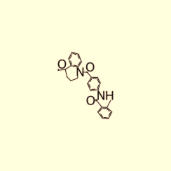 Cc1ccccc1C(=O)Nc1ccc(C(=O)N2CCCC3(CO3)c3ccccc32)cc1